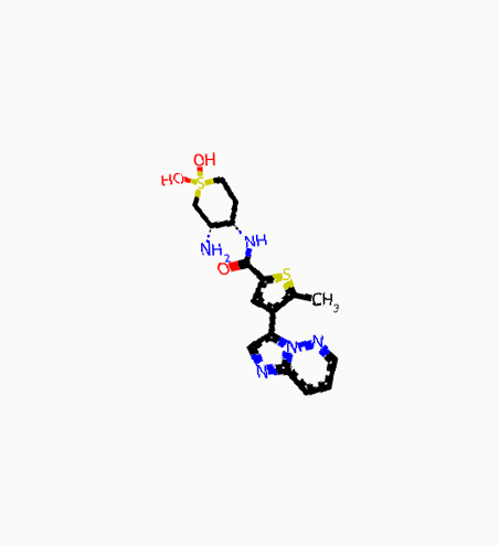 Cc1sc(C(=O)N[C@H]2CCS(O)(O)C[C@H]2N)cc1-c1cnc2cccnn12